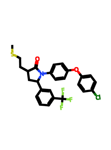 CSCCC1CC(c2cccc(C(F)(F)F)c2)N(c2ccc(Oc3ccc(Cl)cc3)cc2)C1=O